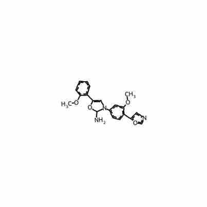 COc1ccccc1C1=CN(c2ccc(-c3cnco3)c(OC)c2)C(N)O1